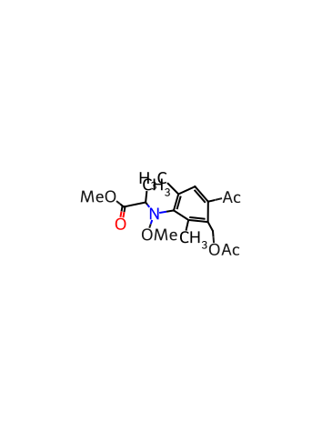 COC(=O)C(C)N(OC)c1c(C)cc(C(C)=O)c(COC(C)=O)c1C